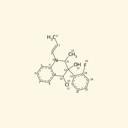 CC=CN1c2ccccc2C(Cl)C(O)(c2ccccc2F)C1C